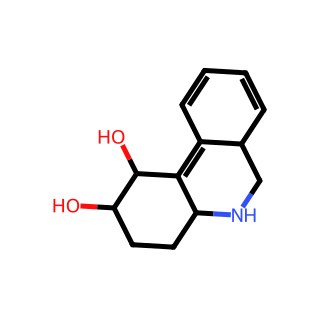 OC1CCC2NCC3C=CC=CC3=C2C1O